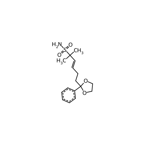 CC(C)(C=CCCC1(c2ccccc2)OCCO1)S(N)(=O)=O